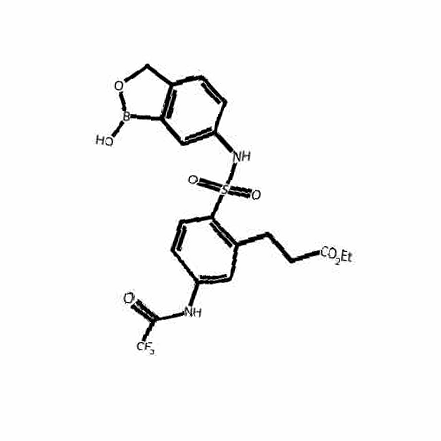 CCOC(=O)CCc1cc(NC(=O)C(F)(F)F)ccc1S(=O)(=O)Nc1ccc2c(c1)B(O)OC2